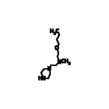 CCCCOCCN(C)CCN1CCNCC1